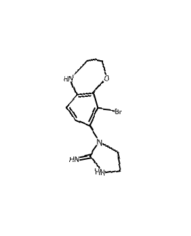 N=C1NCCN1c1ccc2c(c1Br)OCCN2